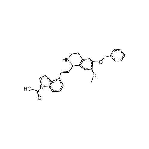 COc1cc2c(cc1OCc1ccccc1)CCNC2/C=C/c1cccc2c1ccn2C(=O)O